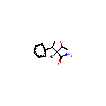 CC(O)C(C#N)(C(N)=O)C(C)c1ccccc1